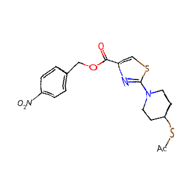 CC(=O)SC1CCN(c2nc(C(=O)OCc3ccc([N+](=O)[O-])cc3)cs2)CC1